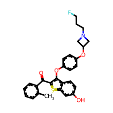 Cc1ccccc1C(=O)c1sc2cc(O)ccc2c1Oc1ccc(OC2CN(CCCF)C2)cc1